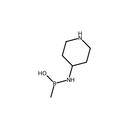 CB(O)NC1CCNCC1